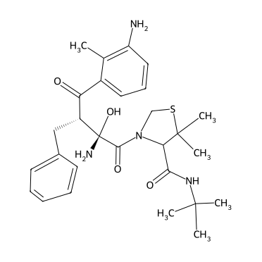 Cc1c(N)cccc1C(=O)[C@@H](Cc1ccccc1)[C@](N)(O)C(=O)N1CSC(C)(C)C1C(=O)NC(C)(C)C